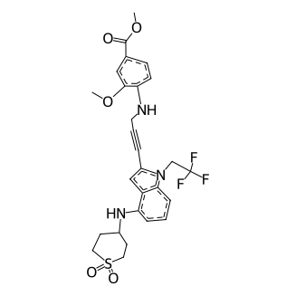 COC(=O)c1ccc(NCC#Cc2cc3c(NC4CCS(=O)(=O)CC4)cccc3n2CC(F)(F)F)c(OC)c1